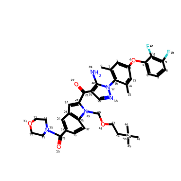 Cc1cc(Oc2cccc(F)c2F)cc(C)c1-n1ncc(C(=O)c2cc3cc(C(=O)N4CCOCC4)ccc3n2COCC[Si](C)(C)C)c1N